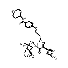 CC1(C)[C@H](NC(=O)C(=NOCCOc2ccc(C(=N)NC3CCNCC3)cc2)c2csc(N)n2)C(=O)N1OS(=O)(=O)O